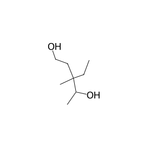 CCC(C)(CCO)C(C)O